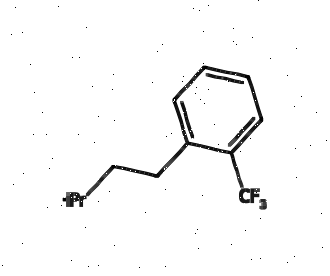 C[C](C)CCc1ccccc1C(F)(F)F